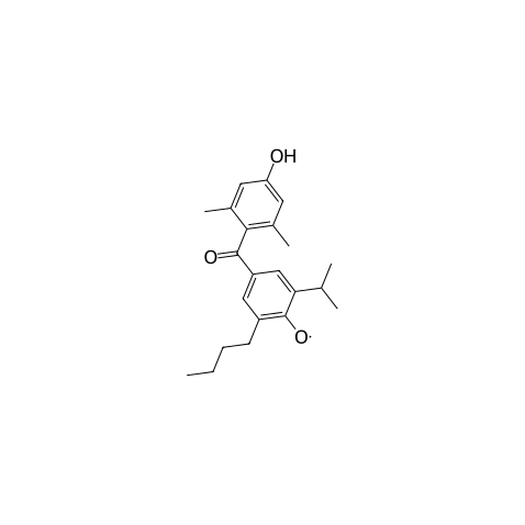 CCCCc1cc(C(=O)c2c(C)cc(O)cc2C)cc(C(C)C)c1[O]